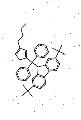 CCCCC1=CCC(C(c2ccccc2)(c2ccccc2)C2c3cc(C(C)(C)C)ccc3-c3ccc(C(C)(C)C)cc32)=C1